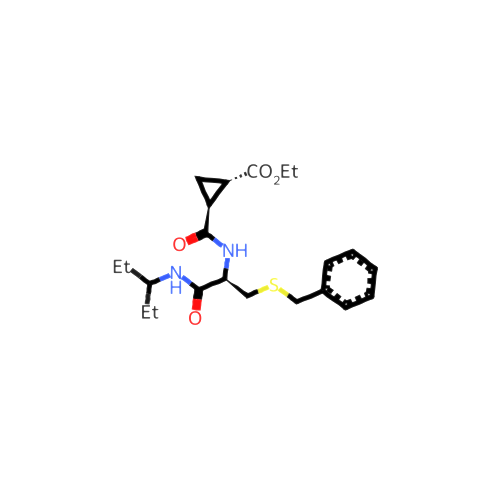 CCOC(=O)[C@H]1C[C@@H]1C(=O)N[C@@H](CSCc1ccccc1)C(=O)NC(CC)CC